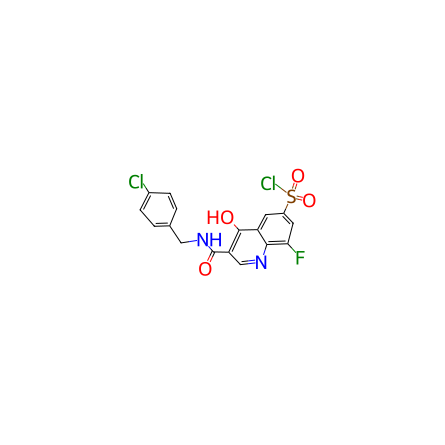 O=C(NCc1ccc(Cl)cc1)c1cnc2c(F)cc(S(=O)(=O)Cl)cc2c1O